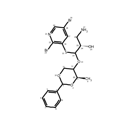 C[C@H]1OC(c2ccccc2)OCC1OC(Sc1cc(Br)cnc1Br)[C@@H](O)CN